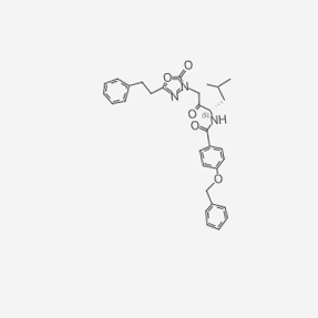 CC(C)C[C@H](NC(=O)c1ccc(OCc2ccccc2)cc1)C(=O)Cn1nc(CCc2ccccc2)oc1=O